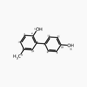 Cc1c[c]c(O)c(-c2ccc(O)cc2)c1